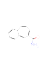 NC(=O)C1=CC=CC2C=CC=CC2=C1